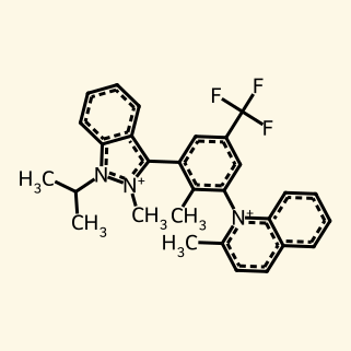 Cc1c(-c2c3ccccc3n(C(C)C)[n+]2C)cc(C(F)(F)F)cc1-[n+]1c(C)ccc2ccccc21